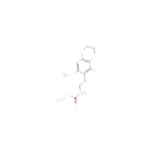 COc1cc2c(c(F)c1CCNC(=O)OC(C)(C)C)OCCO2